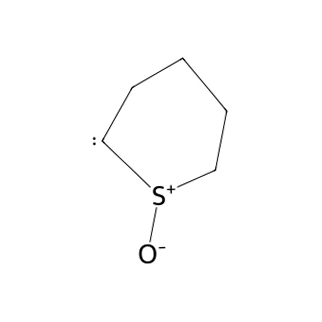 [O-][S+]1[C]CCCC1